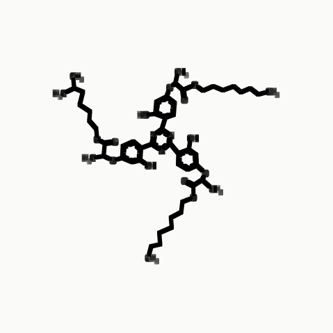 CCCCCCCCOC(=O)C(C)Oc1ccc(-c2nc(-c3ccc(OC(C)C(=O)OCCCCCCCC)cc3O)nc(-c3ccc(OC(C)C(=O)OCCCCCC(C)C)cc3O)n2)c(O)c1